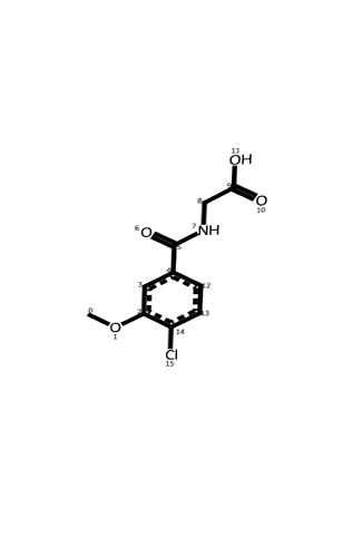 COc1cc(C(=O)NCC(=O)O)ccc1Cl